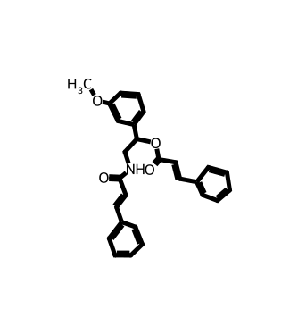 COc1cccc(C(CNC(=O)/C=C/c2ccccc2)OC(=O)/C=C/c2ccccc2)c1